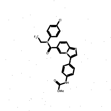 COC(=O)Nc1ccc(-c2cnc3ccc(C(=O)N(CC(F)(F)F)c4ccc(Cl)cc4)cn23)cc1